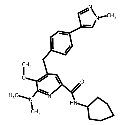 COc1c(Cc2ccc(-c3cnn(C)c3)cc2)cc(C(=O)NC2CCCCC2)nc1N(C)C